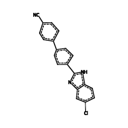 N#Cc1ccc(-c2ccc(-c3nc4cc(Cl)ccc4[nH]3)cc2)cc1